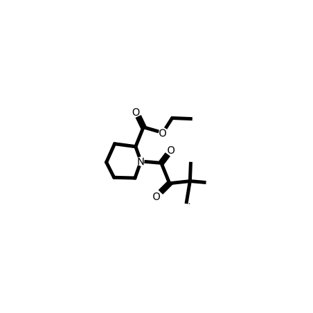 [CH2]C(C)(C)C(=O)C(=O)N1CCCCC1C(=O)OCC